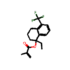 C=C(C)C(=O)OC1(CC)CCCc2c(C(F)(F)F)cccc21